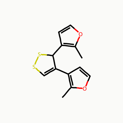 Cc1occc1C1=CSSC1c1ccoc1C